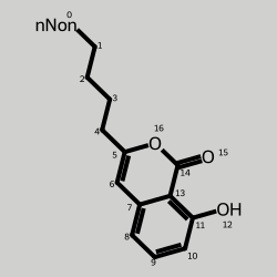 CCCCCCCCCCCCCc1cc2cccc(O)c2c(=O)o1